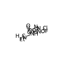 CCN(C)CC=CC(=O)Nc1cc2c(Nc3ccc(F)c(Cl)c3)ncnc2cc1O[C@H]1CCOC1